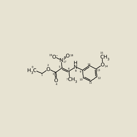 CCOC(=O)C(=C(C)Nc1cccc(OC)c1)[N+](=O)[O-]